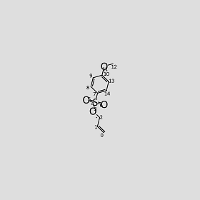 C=C[CH]OS(=O)(=O)c1ccc(OC)cc1